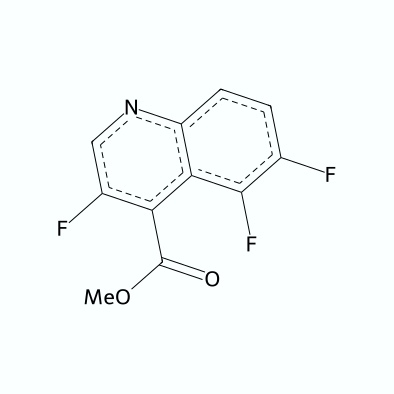 COC(=O)c1c(F)cnc2ccc(F)c(F)c12